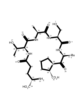 CC[C@H](C)[C@H](NC(=O)[C@H](CO)NC(=O)[C@H](C)NC(=O)[C@@H](NC(=O)CC[C@H](N)C(=O)O)[C@@H](C)O)C(=O)N1CCC[C@H]1C(=O)O